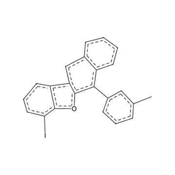 Cc1cccc(-c2c3ccccc3cc3c2oc2c(I)cccc23)c1